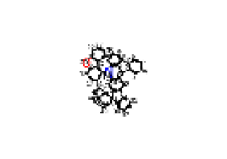 CC12c3ccccc3-c3cccc(c31)N(c1cccc3oc4ccccc4c13)c1cc3c(cc12)-c1ccccc1C31C2CC3CC(C2)CC1C3